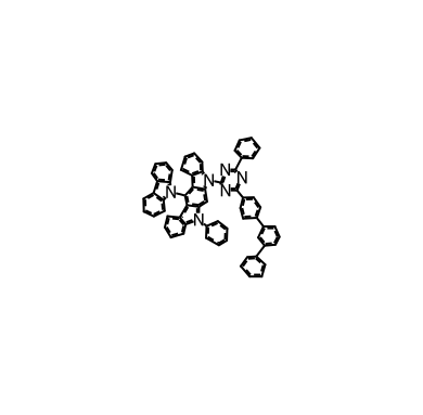 c1ccc(-c2cccc(-c3ccc(-c4nc(-c5ccccc5)nc(-n5c6ccccc6c6c(-n7c8ccccc8c8ccccc87)c7c8ccccc8n(-c8ccccc8)c7cc65)n4)cc3)c2)cc1